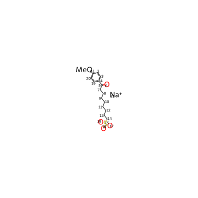 COc1ccc(C(=O)CCCCCCCCS(=O)(=O)[O-])cc1.[Na+]